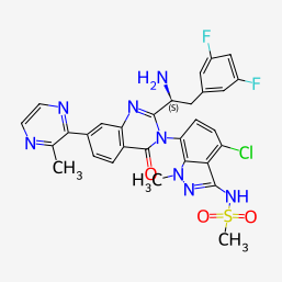 Cc1nccnc1-c1ccc2c(=O)n(-c3ccc(Cl)c4c(NS(C)(=O)=O)nn(C)c34)c([C@@H](N)Cc3cc(F)cc(F)c3)nc2c1